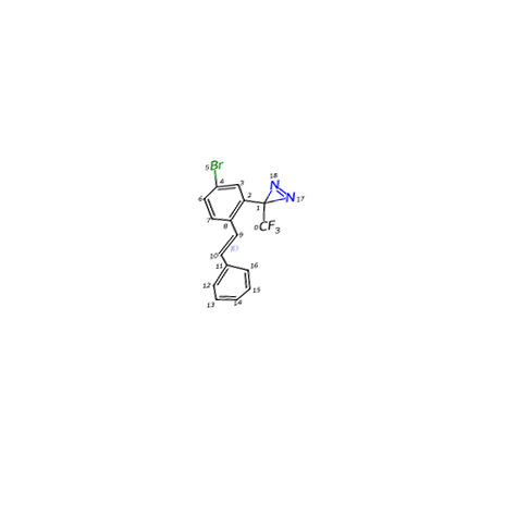 FC(F)(F)C1(c2cc(Br)ccc2/C=C/c2ccccc2)N=N1